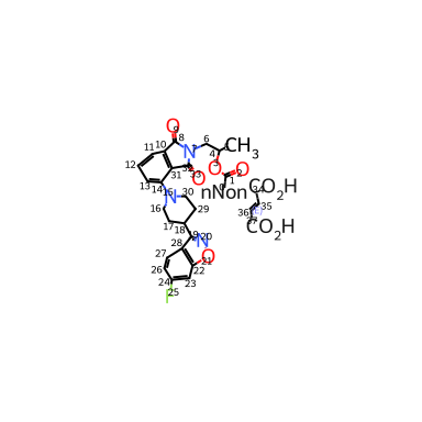 CCCCCCCCCC(=O)OC(C)CN1C(=O)c2cccc(N3CCC(c4noc5cc(F)ccc45)CC3)c2C1=O.O=C(O)/C=C/C(=O)O